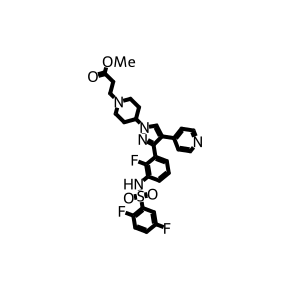 COC(=O)CCN1CCC(n2cc(-c3ccncc3)c(-c3cccc(NS(=O)(=O)c4cc(F)ccc4F)c3F)n2)CC1